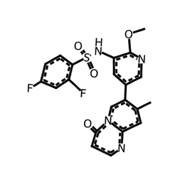 COc1ncc(-c2cn3c(=O)ccnc3cc2C)cc1NS(=O)(=O)c1ccc(F)cc1F